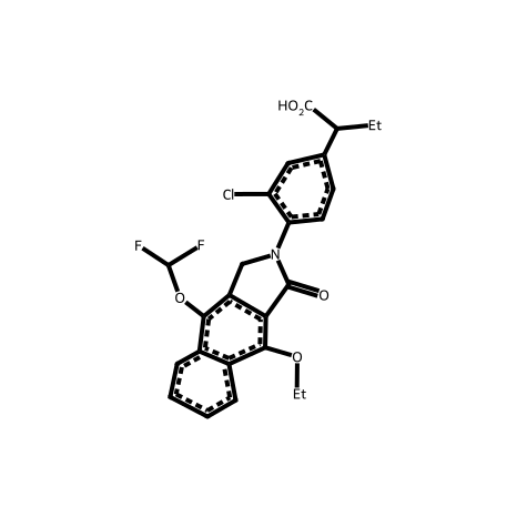 CCOc1c2c(c(OC(F)F)c3ccccc13)CN(c1ccc(C(CC)C(=O)O)cc1Cl)C2=O